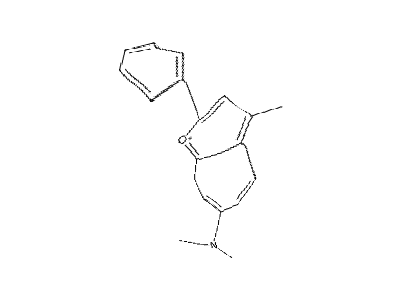 Cc1cc(-c2ccccc2)[o+]c2cc(N(C)C)ccc12